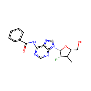 CC1[C@@H](CO)O[C@@H](n2cnc3c(NC(=O)c4ccccc4)ncnc32)[C@H]1F